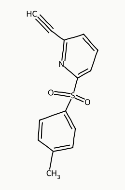 C#Cc1cccc(S(=O)(=O)c2ccc(C)cc2)n1